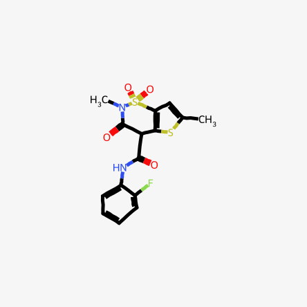 Cc1cc2c(s1)C(C(=O)Nc1ccccc1F)C(=O)N(C)S2(=O)=O